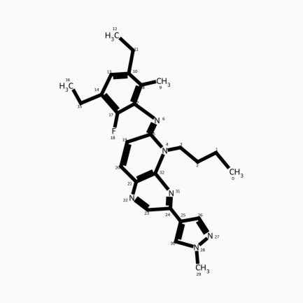 CCCCn1/c(=N/c2c(C)c(CC)cc(CC)c2F)ccc2ncc(-c3cnn(C)c3)nc21